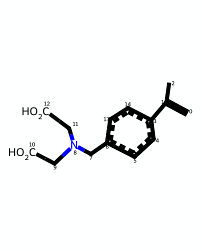 C=C(C)c1ccc(CN(CC(=O)O)CC(=O)O)cc1